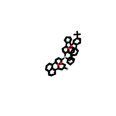 CC(C)(C)c1ccc2c(c1)C1(c3ccccc3-c3ccc(N(c4ccc(-c5cccc6cccc(-c7cccc(F)c7)c56)cc4)c4ccccc4-c4ccccc4)cc31)c1cc(C(C)(C)C)ccc1-2